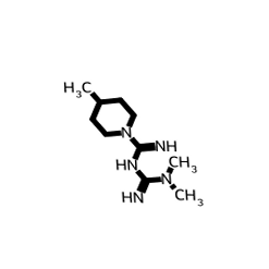 CC1CCN(C(=N)NC(=N)N(C)C)CC1